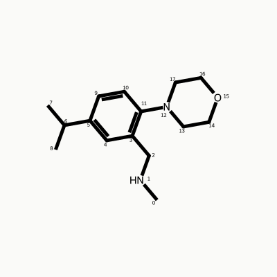 CNCc1cc(C(C)C)ccc1N1CCOCC1